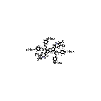 CCCCCCc1ccc(CSC(SCc2ccc(CCCCCC)cc2)=C2c3cc4c(cc3-c3sc(/C=C5/SC(=S)N(CC)C5=O)cc32)C(=C(SCc2ccc(CCCCCC)cc2)SCc2ccc(CCCCCC)cc2)c2cc(/C=C3/SC(=S)N(CC)C3=O)sc2-4)cc1